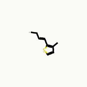 [CH2]CC=Cc1sccc1C